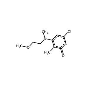 COCCN(C)c1cc(Cl)nc(=O)n1C